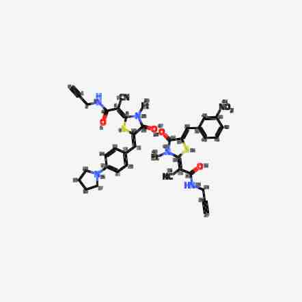 C#CCNC(=O)/C(C#N)=c1\s/c(=C\c2ccc(N3CCCC3)cc2)c(=O)n1CC.C#CCNC(=O)/C(C#N)=c1\s/c(=C\c2cccc([N+](=O)[O-])c2)c(=O)n1CC